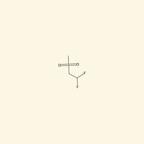 CS(=O)(=O)CC(F)F